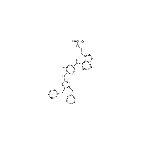 Cc1cc(Nc2ncnc3ccn(CCOS(C)(=O)=O)c23)ccc1OC1=CN(Cc2ccccc2)S(Cc2ccccc2)=C1